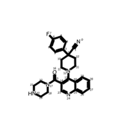 N#CC1(c2ccc(F)cc2)CCN(c2c(C(=O)N3CCNCC3)cnc3ccccc23)CC1